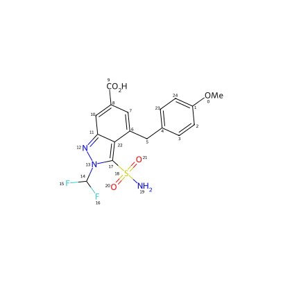 COc1ccc(Cc2cc(C(=O)O)cc3nn(C(F)F)c(S(N)(=O)=O)c23)cc1